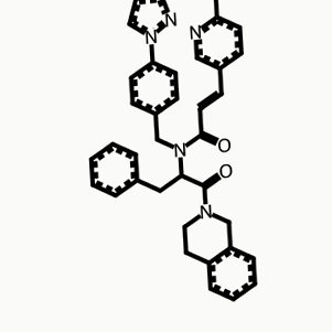 COc1ccc(C=CC(=O)N(Cc2ccc(-n3cccn3)cc2)C(Cc2ccccc2)C(=O)N2CCc3ccccc3C2)cn1